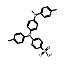 Cc1ccc(N(C)c2ccc(N(c3ccc(C)cc3)c3ccc(S(=O)(=O)O)cc3)cc2)cc1